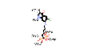 COOP(=O)(OOC)C(O)(CCCCCNc1cc2c(cc1Cl)c(=O)c(C(=O)O)cn2C)P(=O)(OOC)OOC